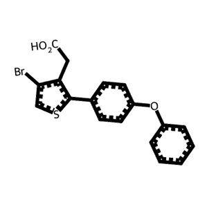 O=C(O)Cc1c(Br)csc1-c1ccc(Oc2ccccc2)cc1